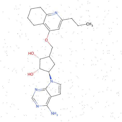 CCCc1cc(OCC2C[C@@H](n3ccc4c(N)ncnc43)[C@H](O)[C@@H]2O)c2c(n1)CCCC2